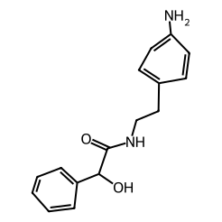 Nc1ccc(CCNC(=O)C(O)c2ccccc2)cc1